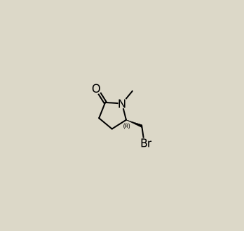 CN1C(=O)CC[C@@H]1CBr